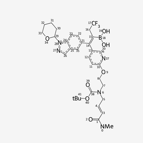 CNC(=O)/C=C/CN(CCOc1ccc(/C(=C(/CC(F)(F)F)B(O)O)c2ccc3c(cnn3C3CCCCO3)c2)cn1)C(=O)OC(C)(C)C